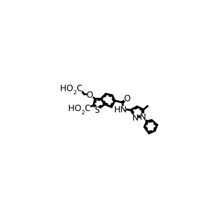 Cc1cc(NC(=O)c2ccc3c(OCC(=O)O)c(C(=O)O)sc3c2)nn1-c1ccccc1